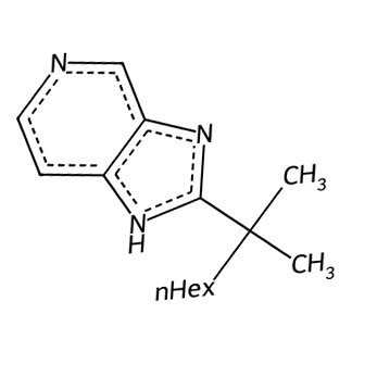 CCCCCCC(C)(C)c1nc2cnccc2[nH]1